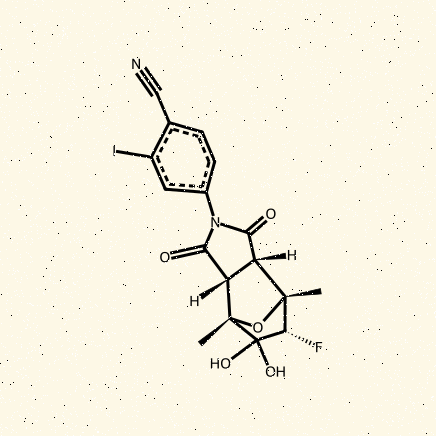 C[C@@]12O[C@@](C)([C@@H]3C(=O)N(c4ccc(C#N)c(I)c4)C(=O)[C@@H]31)C(O)(O)[C@H]2F